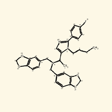 CCCCn1c(C(C)N(Cc2ccc3c(c2)OCO3)Cc2ccc3c(c2)OCO3)cnc1-c1ccc(F)cc1